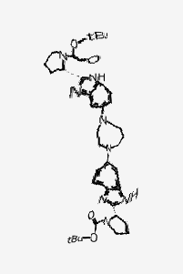 CC(C)(C)OC(=O)N1CCC[C@H]1c1nc2cc(N3CCCN(c4ccc5nc([C@@H]6CCCN6C(=O)OC(C)(C)C)[nH]c5c4)CC3)ccc2[nH]1